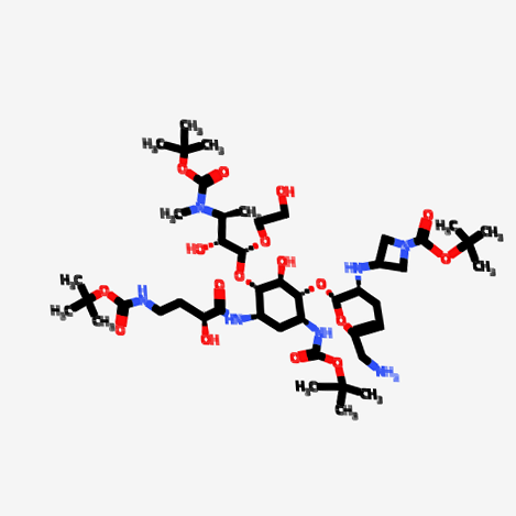 C[C@@H]([C@@H](O)[C@H](OCCO)O[C@@H]1[C@@H](O)[C@H](O[C@H]2OC(CN)=CC[C@H]2NC2CN(C(=O)OC(C)(C)C)C2)[C@@H](NC(=O)OC(C)(C)C)C[C@H]1NC(=O)[C@@H](O)CCNC(=O)OC(C)(C)C)N(C)C(=O)OC(C)(C)C